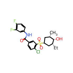 CC[C@@H]1C[C@@H](S(=O)(=O)c2cc(C(=O)Nc3ccc(F)c(F)c3)ccc2Cl)C[C@H](C)[C@@H]1O